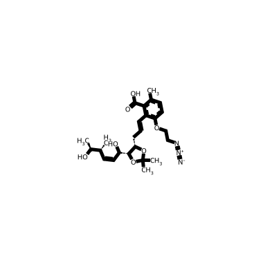 Cc1ccc(OCCN=[N+]=[N-])c(/C=C/C[C@@H]2OC(C)(C)O[C@@H]2C(O)/C=C\[C@@H](C)[C@H](C)O)c1C(=O)O